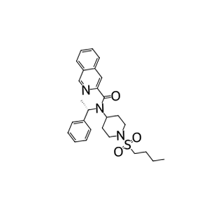 CCCCS(=O)(=O)N1CCC(N(C(=O)c2cc3ccccc3cn2)[C@@H](C)c2ccccc2)CC1